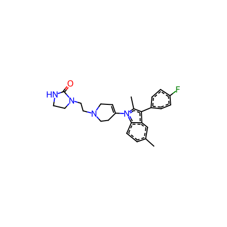 Cc1ccc2c(c1)c(-c1ccc(F)cc1)c(C)n2C1=CCN(CCN2CCNC2=O)CC1